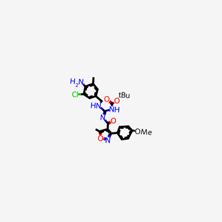 COc1ccc(-c2noc(C)c2C(=O)/N=C(/NCc2cc(C)c(N)c(Cl)c2)NC(=O)OC(C)(C)C)cc1